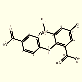 O=C(O)c1ccc(Nc2c(C(=O)O)cc(Cl)cc2[N+](=O)[O-])cc1